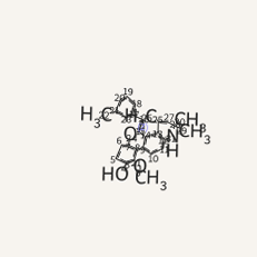 COc1c(O)ccc2c1-c1ccc3c(c1/C(=C/c1cccc(C)c1)O2)C(C)=CC(C)(C)N3